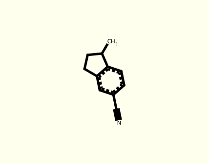 CC1CCc2cc(C#N)ccc21